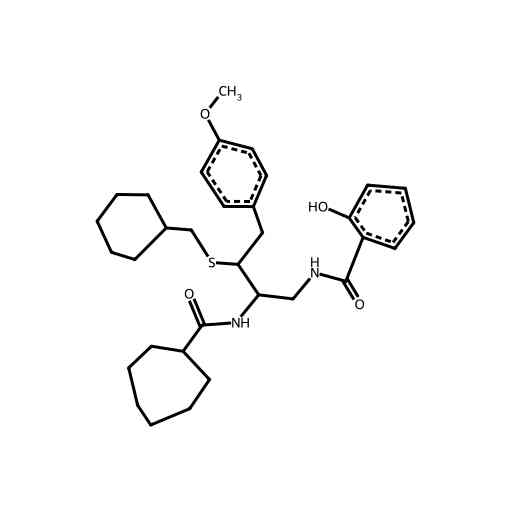 COc1ccc(CC(SCC2CCCCC2)C(CNC(=O)c2ccccc2O)NC(=O)C2CCCCCC2)cc1